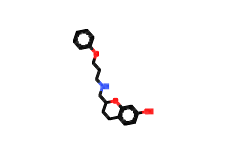 Oc1ccc2c(c1)OC(CNCCCOc1ccccc1)CC2